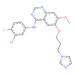 COc1cc2ncnc(Nc3ccc(F)c(Cl)c3)c2cc1OCCCn1ccnc1